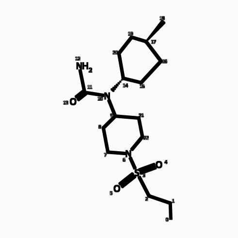 CCCS(=O)(=O)N1CCC(N(C(N)=O)[C@H]2CC[C@H](C)CC2)CC1